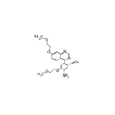 C#Cc1cc(N)c(OCCOC)cc1-c1ncnc2cc(OCCOC)ccc12